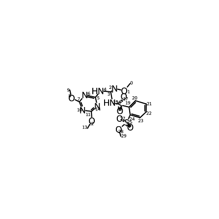 CON=C(Nc1nc(OC)nc(OC)n1)NS(=O)(=O)c1ccccc1S(=O)(=O)OC